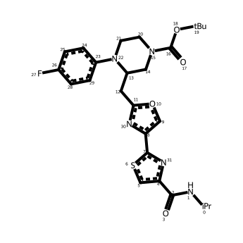 CC(C)NC(=O)c1csc(-c2coc(CC3CN(C(=O)OC(C)(C)C)CCN3c3ccc(F)cc3)n2)n1